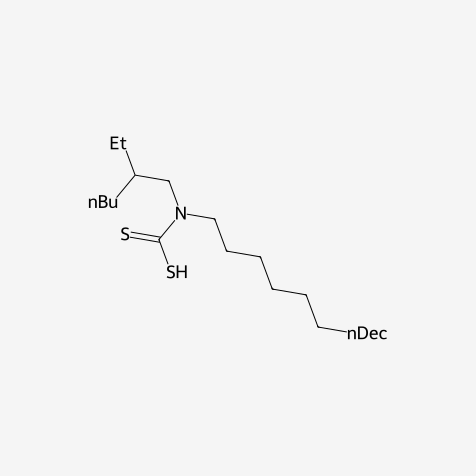 CCCCCCCCCCCCCCCCN(CC(CC)CCCC)C(=S)S